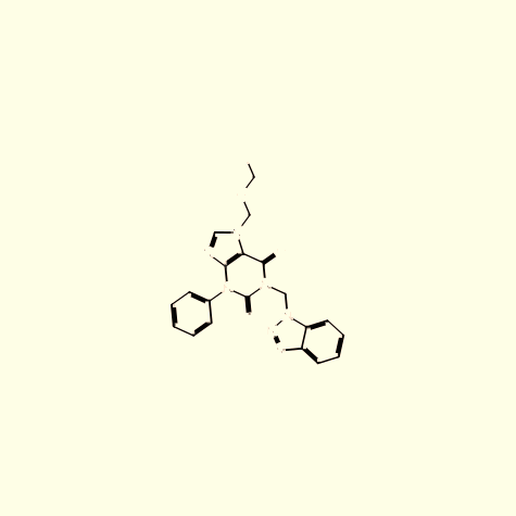 CCOCn1cnc2c1c(=O)n(Cn1nnc3ccccc31)c(=O)n2-c1ccccc1